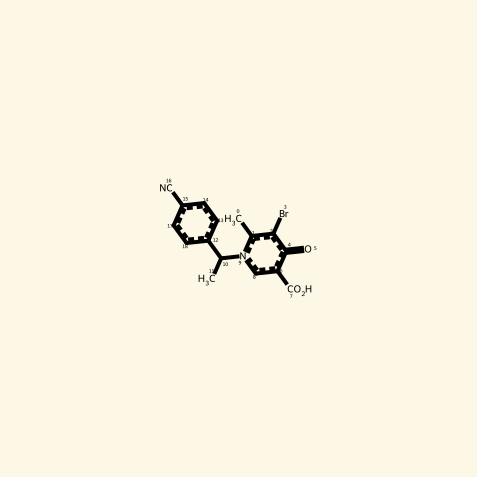 Cc1c(Br)c(=O)c(C(=O)O)cn1C(C)c1ccc(C#N)cc1